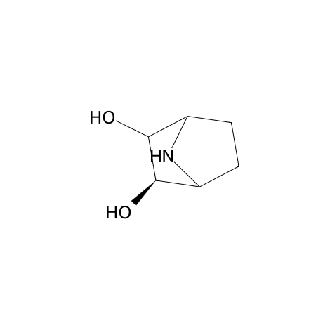 OC1C2CCC(N2)[C@H]1O